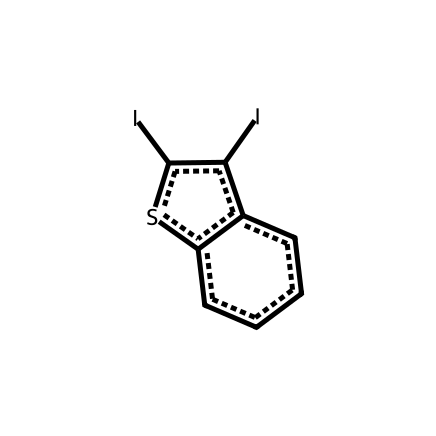 Ic1sc2ccccc2c1I